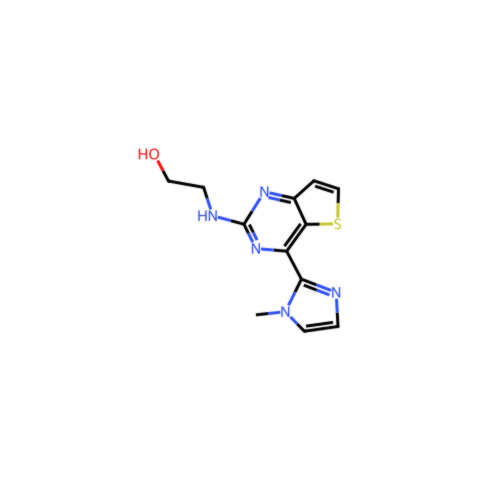 Cn1ccnc1-c1nc(NCCO)nc2ccsc12